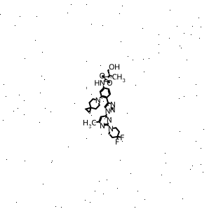 Cc1cc(-n2cc(-c3ccc(NS(=O)(=O)[C@H](C)CO)cc3N3CCC4(CC3)CC4)nn2)nc(N2CCC(F)(F)CC2)n1